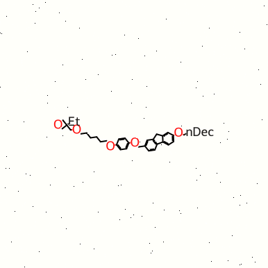 CCCCCCCCCCCOc1ccc2c(c1)Cc1cc(COc3ccc(OCCCCCCOCC4(CC)COC4)cc3)ccc1-2